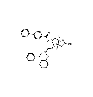 O=C(O[C@@H]1C[C@@H]2OC(O)C[C@@H]2[C@H]1C=C[C@H](CCc1ccccc1)OC1CCCCO1)c1ccc(-c2ccccc2)cc1